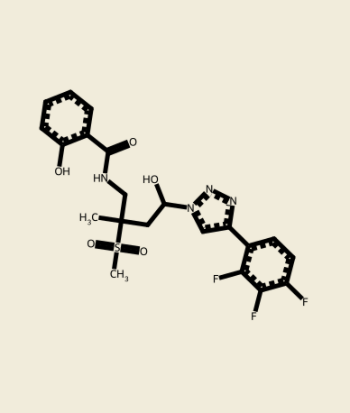 CC(CNC(=O)c1ccccc1O)(CC(O)n1cc(-c2ccc(F)c(F)c2F)nn1)S(C)(=O)=O